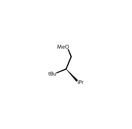 COC[C@@H](C(C)C)C(C)(C)C